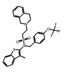 Cc1c(N(Cc2ccc(OC(F)(F)F)cc2)S(=O)(=O)CCN2CCc3ccccc3C2)sc2ccccc12